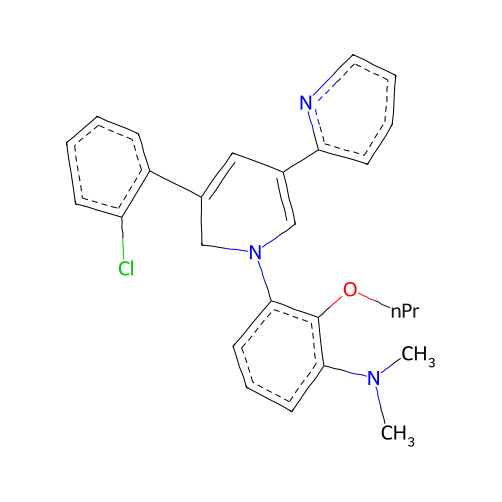 CCCOc1c(N(C)C)cccc1N1C=C(c2ccccn2)C=C(c2ccccc2Cl)C1